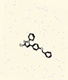 CCc1cc(-c2ccc(OCc3ccccc3)cc2)n(C2CC#CCC2)n1